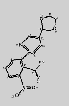 O=[N+]([O-])c1cccc(-c2ccc(C3OCCO3)cn2)c1C(F)F